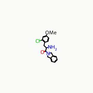 COc1ccc(CC(N)C(=O)N2Cc3ccccc3C2)c(Cl)c1